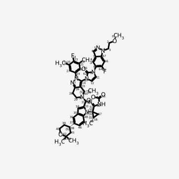 COCCn1ncc2cc(-n3ccn(-c4c5c(nn4-c4cc(C)c(F)c(C)c4)CCN(C(=O)c4cc6cc([C@H]7CCOC(C)(C)C7)ccc6n4[C@@]4(c6noc(=O)[nH]6)C[C@@H]4C)[C@H]5C)c3=O)c(F)cc21